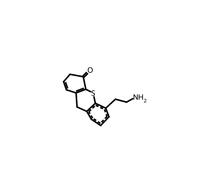 NCCc1cccc2c1SC1=C(C=CCC1=O)C2